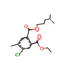 CCOC(=O)c1cc(Cl)c(C)cc1C(=O)OCCCC(C)C